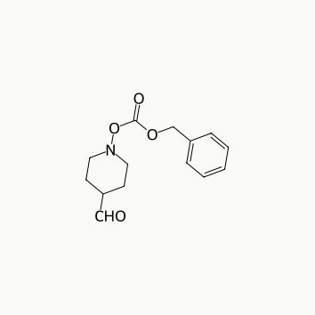 O=CC1CCN(OC(=O)OCc2ccccc2)CC1